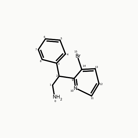 NCC(c1ccccc1)c1ncccc1Br